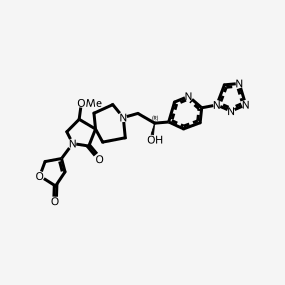 COC1CN(C2=CC(=O)OC2)C(=O)C12CCN(C[C@H](O)c1ccc(-n3cnnn3)nc1)CC2